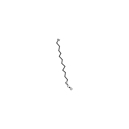 O=C=NCCCCCCCCCCCCBr